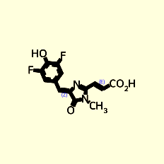 CN1C(=O)/C(=C/c2cc(F)c(O)c(F)c2)N=C1/C=C/C(=O)O